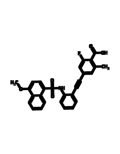 COc1ccc(S(=O)(=O)Nc2ccccc2C#Cc2cc(C)c(C(=O)O)c(F)c2)c2ccccc12